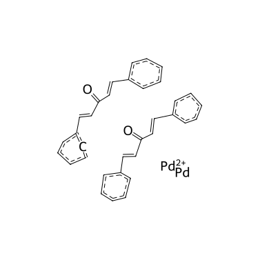 O=C(C=Cc1ccccc1)C=Cc1ccccc1.O=C(C=Cc1ccccc1)C=Cc1ccccc1.[Pd+2].[Pd]